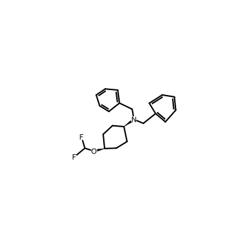 FC(F)O[C@H]1CC[C@@H](N(Cc2ccccc2)Cc2ccccc2)CC1